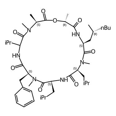 CCCC[C@@H](C)C[C@@H]1NC(=O)[C@@H](C)OC(=O)[C@H](C)N(C)C(=O)C(C(C)C)NC(=O)[C@H](Cc2ccccc2)N(C)C(=O)[C@H](CC(C)C)NC(=O)[C@H](CC(C)C)N(C)C1=O